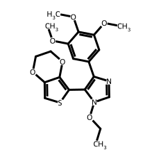 CCOn1cnc(-c2cc(OC)c(OC)c(OC)c2)c1-c1scc2c1OCCO2